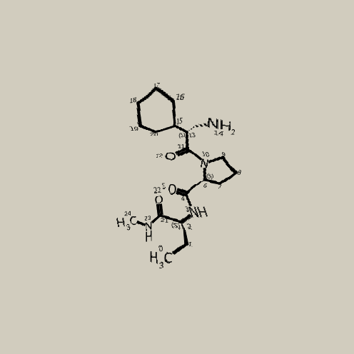 CC[C@H](NC(=O)[C@@H]1CCCN1C(=O)[C@@H](N)C1CCCCC1)C(=O)NC